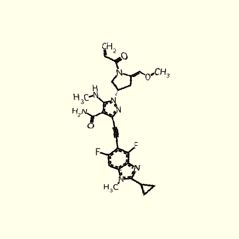 C=CC(=O)N1C[C@@H](n2nc(C#Cc3c(F)cc4c(nc(C5CC5)n4C)c3F)c(C(N)=O)c2NC)C/C1=C\OC